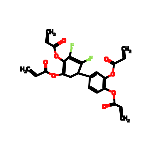 C=CC(=O)OC1=C(OC(=O)C=C)C(F)=C(F)C(c2ccc(OC(=O)C=C)c(OC(=O)C=C)c2)C1